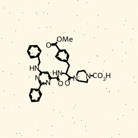 COC(=O)c1ccc(CC(NC(=O)c2cc(NCc3ccccc3)nc(-c3ccccc3)n2)C(=O)N2CCN(C(=O)O)CC2)cc1